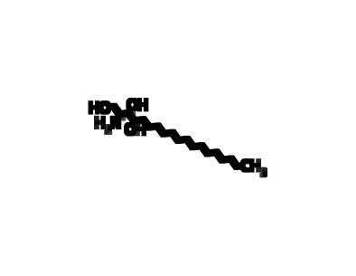 CCCCCCCCCCCCCCC[C@@H](O)[C@@H](O)[C@@H](N)CO